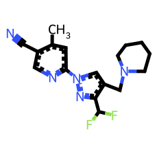 Cc1cc(-n2cc(CN3CCCCC3)c(C(F)F)n2)ncc1C#N